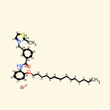 CCCCCCCCCCCCCCOc1ccccc1NC(=O)c1cccc(C[n+]2ccsc2C)c1.[Br-]